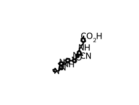 Cc1c(Nc2nccc3cc(CN4CCCC4)cnc23)cccc1-c1cccc(-c2nc3cc(CNCCc4ccc(C(=O)O)cc4)cc(C#N)c3o2)c1C